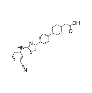 N#Cc1cccc(Nc2nc(-c3ccc(C4CCC(CC(=O)O)CC4)cc3)cs2)c1